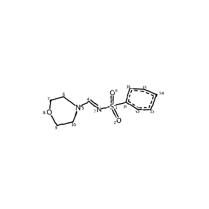 O=S(=O)(N=CN1CCOCC1)c1ccccc1